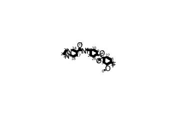 COc1cc(S(=O)(=O)c2ccc(CNC(=O)c3ccc4nccn4c3)cc2)ccc1F